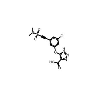 CN(C)S(=O)(=O)C#Cc1cc(Cl)cc(Oc2[nH]nnc2C(=O)O)c1